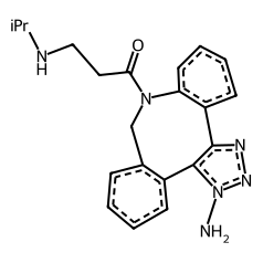 CC(C)NCCC(=O)N1Cc2ccccc2-c2c(nnn2N)-c2ccccc21